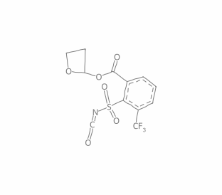 O=C=NS(=O)(=O)c1c(C(=O)OC2CCO2)cccc1C(F)(F)F